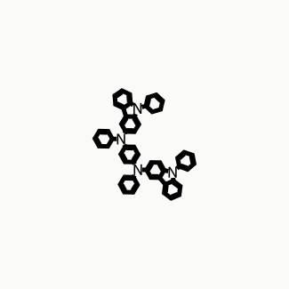 C1=CCCC(n2c3ccccc3c3cc(N(c4ccc(N(c5ccccc5)c5ccc6c(c5)c5ccccc5n6-c5ccccc5)cc4)C4C=CC=CC4)ccc32)=C1